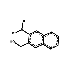 OCc1cc2ccccc2cc1B(O)O